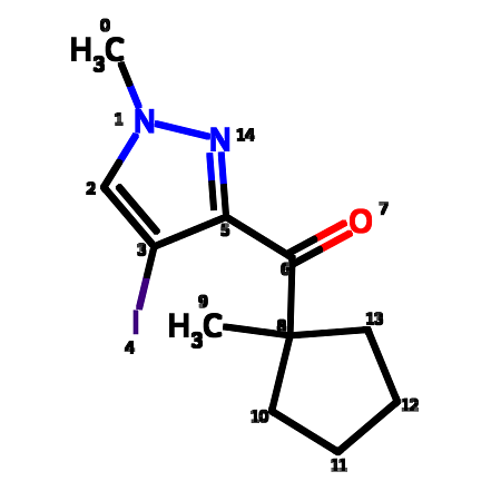 Cn1cc(I)c(C(=O)C2(C)CCCC2)n1